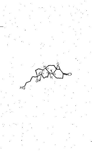 C[C@]12CC[C@@H]3[C@@H](CCC45OC4C(=O)CC[C@]35C)[C@@H]1CCC2(O)CCCO